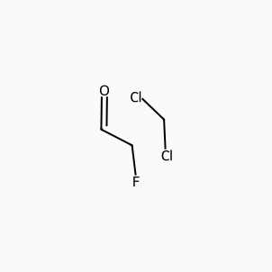 ClCCl.O=CCF